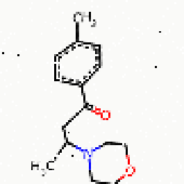 Cc1ccc(C(=O)CC(C)N2CCOCC2)cc1